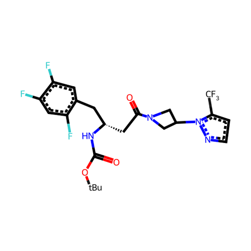 CC(C)(C)OC(=O)N[C@@H](CC(=O)N1CC(n2nccc2C(F)(F)F)C1)Cc1cc(F)c(F)cc1F